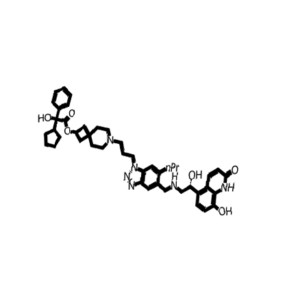 CCCc1cc2c(cc1CNC[C@H](O)c1ccc(O)c3[nH]c(=O)ccc13)nnn2CCCN1CCC2(CC1)CC(OC(=O)C(O)(c1ccccc1)C1CCCC1)C2